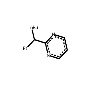 CCCCC(CC)c1ncccn1